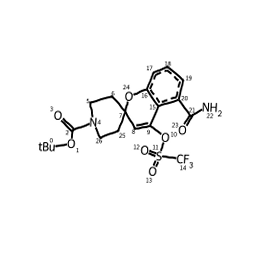 CC(C)(C)OC(=O)N1CCC2(C=C(OS(=O)(=O)C(F)(F)F)c3c(cccc3C(N)=O)O2)CC1